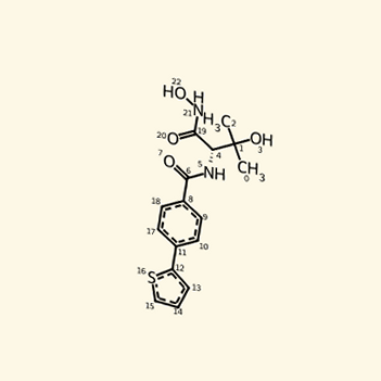 CC(C)(O)[C@H](NC(=O)c1ccc(-c2cccs2)cc1)C(=O)NO